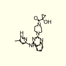 Cc1cc(Nc2nc(N3CCN(C(=O)C4(O)CC4)CC3)nn3cccc23)n[nH]1